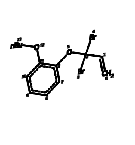 C=CC(Br)(Br)Oc1ccccc1OCCCC